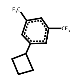 FC(F)(F)c1cc([C]2CCC2)cc(C(F)(F)F)c1